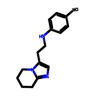 O=Nc1ccc(NCCc2cnc3n2CCCC3)cc1